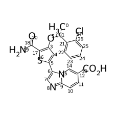 C[C@@H](Oc1cc(-c2cnc3ccc(C(=O)O)cn23)sc1C(N)=O)c1ccccc1Cl